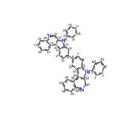 c1ccc(-n2c3ccc(-c4ccc5c6c7ccccc7ncc6n(-c6ccccc6)c5c4)cc3c3c4ccccc4ncc32)cc1